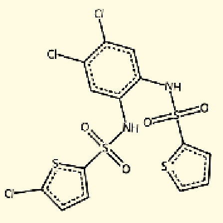 O=S(=O)(Nc1cc(Cl)c(Cl)cc1NS(=O)(=O)c1ccc(Cl)s1)c1cccs1